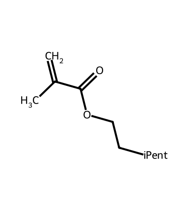 C=C(C)C(=O)OCCC(C)CCC